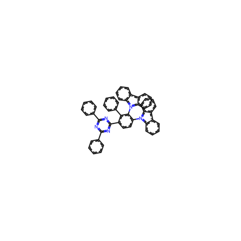 c1ccc(-c2nc(-c3ccccc3)nc(-c3ccc(-n4c5ccccc5c5ccccc54)c(-n4c5ccccc5c5ccccc54)c3-c3ccccc3)n2)cc1